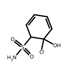 NS(=O)(=O)C1C=CC=CC1(O)Cl